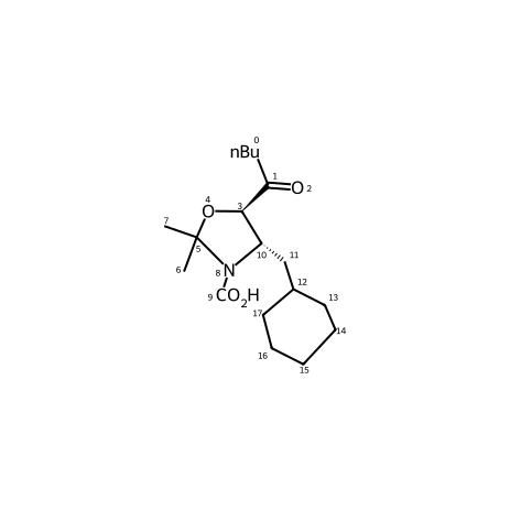 CCCCC(=O)[C@@H]1OC(C)(C)N(C(=O)O)[C@H]1CC1CCCCC1